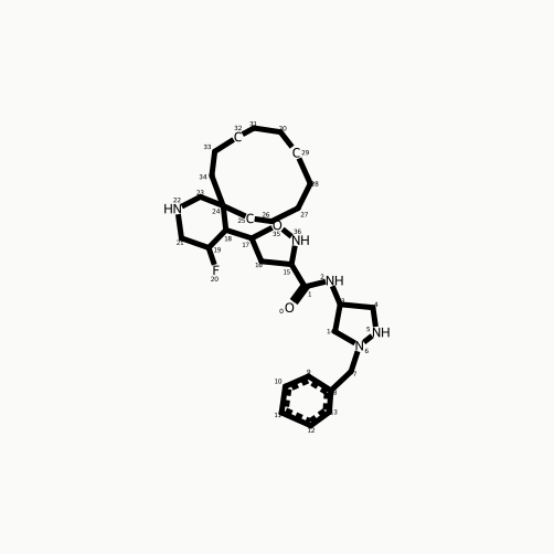 O=C(NC1CNN(Cc2ccccc2)C1)C1CC(C2C(F)CNCC23CCCCCCCCCC3)ON1